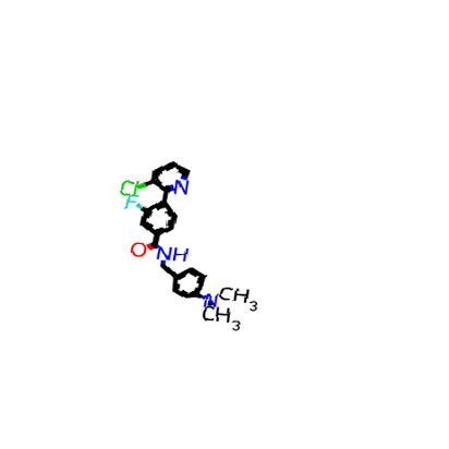 CN(C)c1ccc(CNC(=O)c2ccc(-c3ncccc3Cl)c(F)c2)cc1